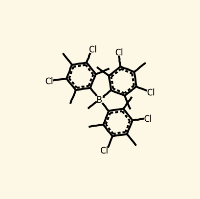 Cc1c(Cl)c(C)c([B-](C)(c2c(C)c(Cl)c(C)c(Cl)c2C)c2c(C)c(Cl)c(C)c(Cl)c2C)c(C)c1Cl